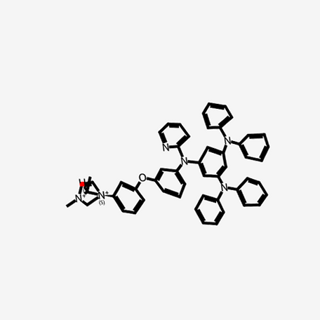 C[C@H]1[N+]2(C)C=C[N@+]1(c1cccc(Oc3cccc(N(c4cc(N(c5ccccc5)c5ccccc5)cc(N(c5ccccc5)c5ccccc5)c4)c4ccccn4)c3)c1)C2